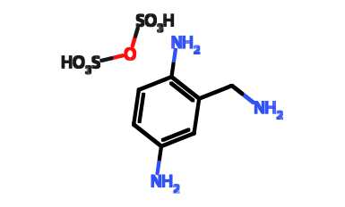 NCc1cc(N)ccc1N.O=S(=O)(O)OS(=O)(=O)O